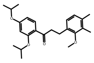 COc1c(CCC(=O)c2ccc(OC(C)C)cc2OC(C)C)ccc(C)c1C